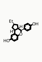 CC[C@@H]1C[C@@H]2[C@H](C1)c1cc(O)ccc1O[C@@H]2c1ccc(O)cc1